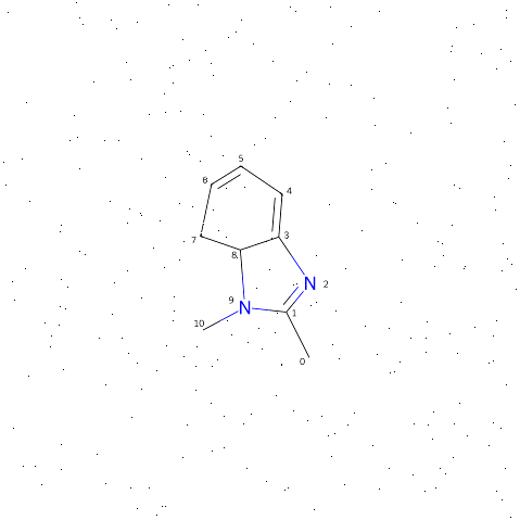 CC1=NC2=CC=CCC2N1C